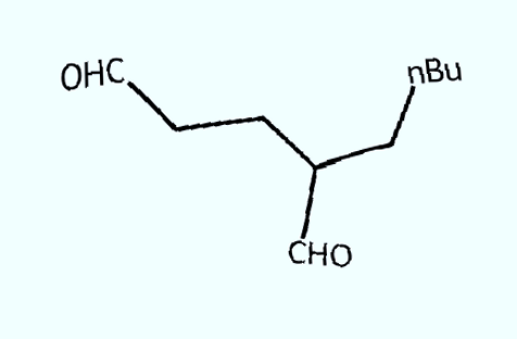 CCCCCC(C=O)CCC=O